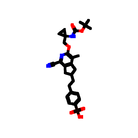 Cc1c(OCC2(NC(=O)OC(C)(C)C)CC2)nc(C#N)c2c1CC(CCc1ccc(S(=O)(=O)O)cc1)C2